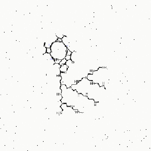 C=CC1=C(C)C2=NC/1=C\c1[nH]c(c(CC)c1C)/C=C1\N=C3C(=C1C)C(=O)C(C(=O)OC)C3C1N/C(=C\2)C(C)C1CCC(=O)NCCN(CCNCCN(CCN)CCNCCNC)CCN(CCNCCNCCNC)CCNCCN(CCNCCN)CCNCCNC